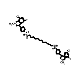 CN1Cc2c(Cl)cc(Cl)cc2C(c2ccc(S(=O)(=O)NCCCCCCCCCCCCNS(=O)(=O)c3ccc(C4CN(C)Cc5c(Cl)cc(Cl)cc54)cc3)cc2)C1